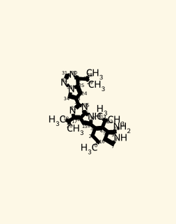 CCC/C(=C(\c1cc[nH]c1N)C(C)C)c1cc2c(C(C)C)nc(-c3cc4c(C(C)C)ncnn4c3)nc2[nH]1